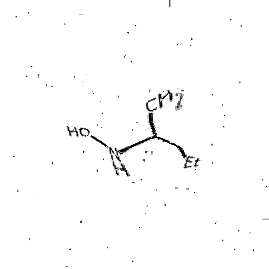 [CH2]C(CC)NO